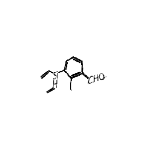 C=C[SiH](C=C)c1cccc([C]=O)c1C